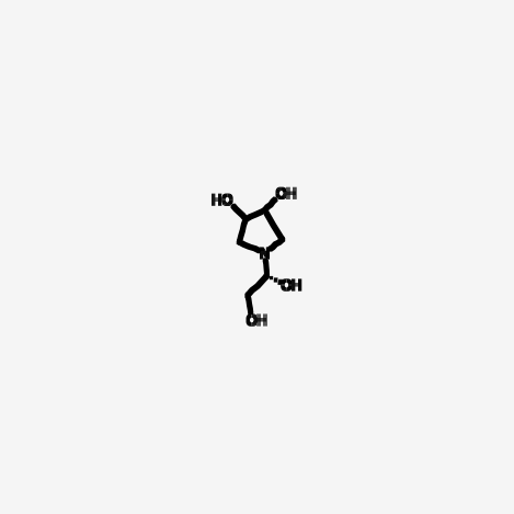 OC[C@@H](O)N1CC(O)C(O)C1